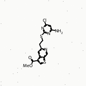 COC(=O)c1csc2cnc(CCSc3nc(N)cc(Cl)n3)cc12